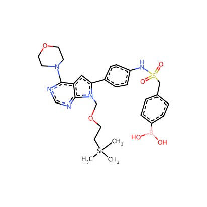 C[Si](C)(C)CCOCn1c(-c2ccc(NS(=O)(=O)Cc3ccc(B(O)O)cc3)cc2)cc2c(N3CCOCC3)ncnc21